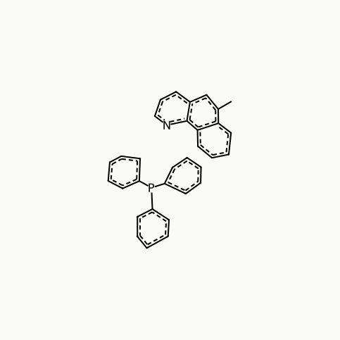 Cc1cc2cccnc2c2ccccc12.c1ccc(P(c2ccccc2)c2ccccc2)cc1